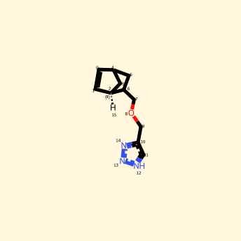 C1=C[C@H]2CC1CC2COCc1c[nH]nn1